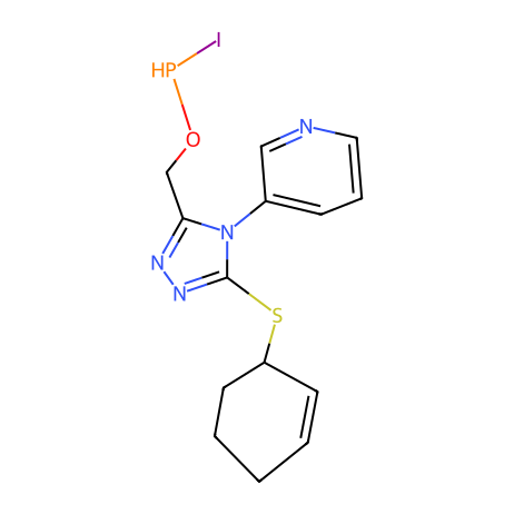 IPOCc1nnc(SC2C=CCCC2)n1-c1cccnc1